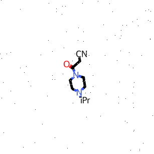 CC(C)N1CCN(C(=O)CC#N)CC1